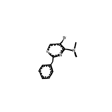 CN(C)c1nc(-c2ccccc2)ncc1Br